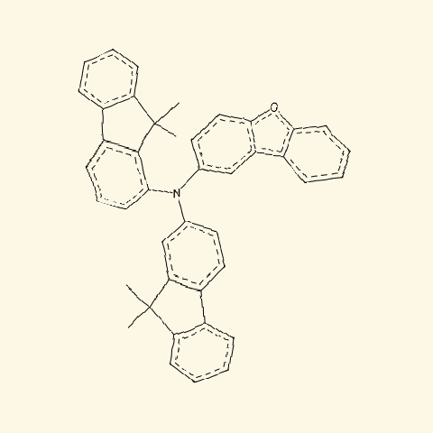 CC1(C)c2ccccc2-c2ccc(N(c3ccc4oc5ccccc5c4c3)c3cccc4c3C(C)(C)c3ccccc3-4)cc21